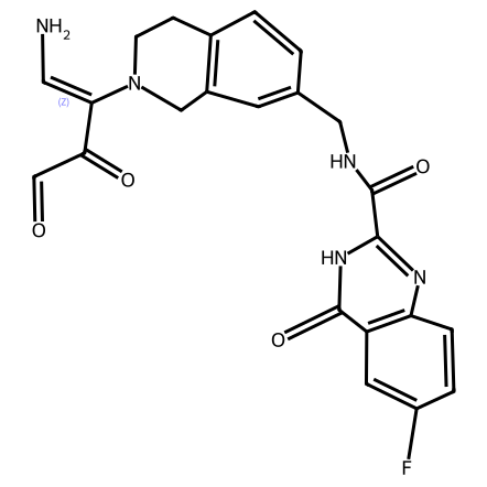 N/C=C(/C(=O)C=O)N1CCc2ccc(CNC(=O)c3nc4ccc(F)cc4c(=O)[nH]3)cc2C1